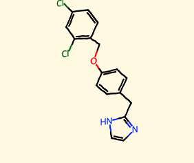 Clc1ccc(COc2ccc(Cc3ncc[nH]3)cc2)c(Cl)c1